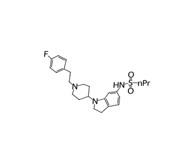 CCCS(=O)(=O)Nc1ccc2c(c1)N(C1CCN(CCc3ccc(F)cc3)CC1)CC2